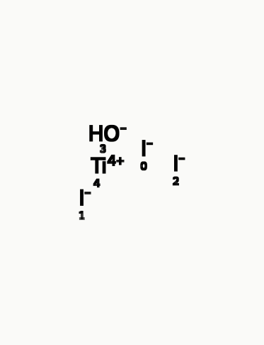 [I-].[I-].[I-].[OH-].[Ti+4]